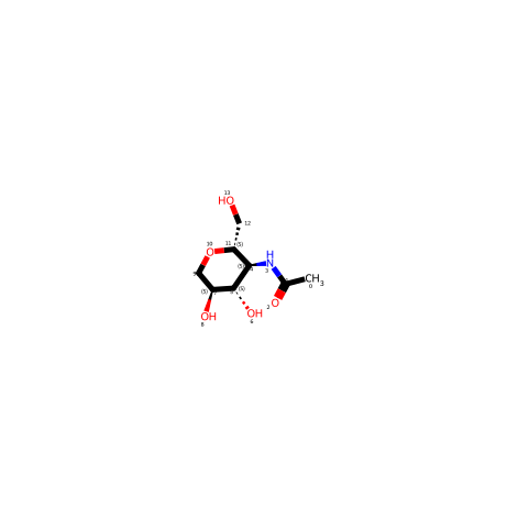 CC(=O)N[C@H]1[C@H](O)[C@@H](O)[CH]O[C@@H]1CO